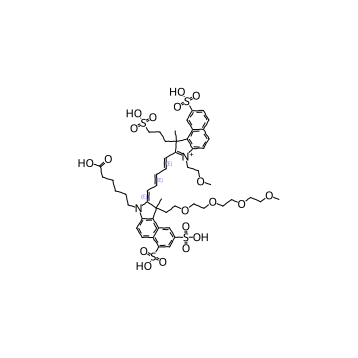 COCCOCCOCCOCCC1(C)\C(=C/C=C/C=C/C2=[N+](CCOC)c3ccc4ccc(S(=O)(=O)O)cc4c3C2(C)CCCS(=O)(=O)O)N(CCCCCC(=O)O)c2ccc3c(S(=O)(=O)O)cc(S(=O)(=O)O)cc3c21